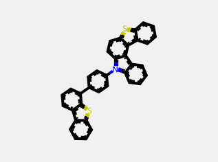 c1ccc2c(c1)sc1c(-c3ccc(-n4c5ccccc5c5c6c(ccc54)sc4ccccc46)cc3)cccc12